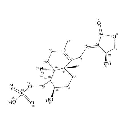 CC1=C(C/C=C2/C(=O)OC[C@H]2O)[C@]2(C)CC[C@@H](O)[C@@](C)(COS(=O)(=O)O)[C@H]2CC1